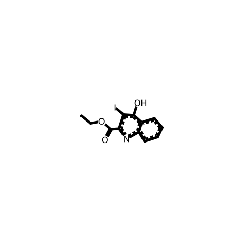 CCOC(=O)c1nc2ccccc2c(O)c1I